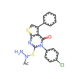 CC(=O)N(N)Sc1nc2scc(-c3ccccc3)c2c(=O)n1-c1ccc(Cl)cc1